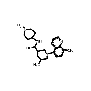 CC1CC(C(O)NC2CCN(C)CC2)CN(c2ccc(C(F)(F)F)c3ncccc23)C1